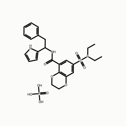 CCN(CC)S(=O)(=O)c1cc2c(c(C(=O)NC(Cc3ccccc3)c3ccc[nH]3)c1)OCCO2.O=P(O)(O)O